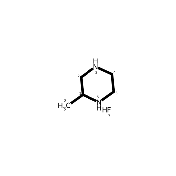 CC1CNCCN1.F